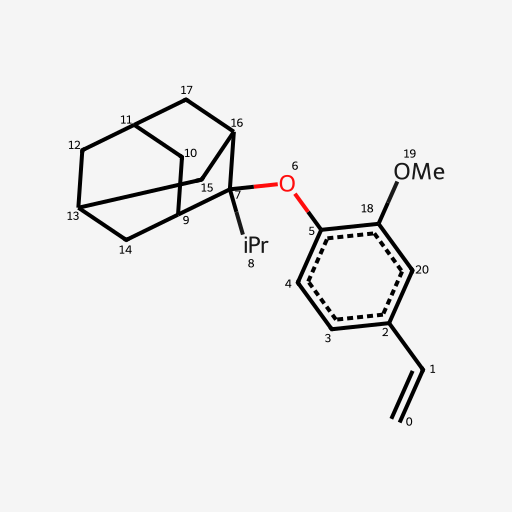 C=Cc1ccc(OC2(C(C)C)C3CC4CC(C3)CC2C4)c(OC)c1